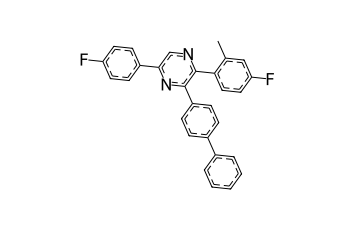 Cc1cc(F)ccc1-c1ncc(-c2ccc(F)cc2)nc1-c1ccc(-c2ccccc2)cc1